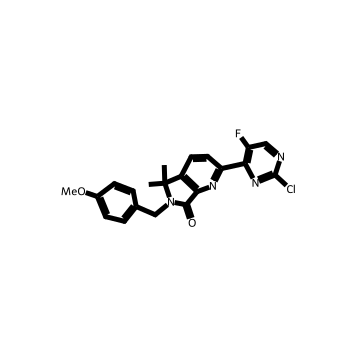 COc1ccc(CN2C(=O)c3nc(-c4nc(Cl)ncc4F)ccc3C2(C)C)cc1